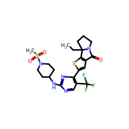 CCC12CCCN1C(=O)c1cc(-c3nc(NC4CCN(S(C)(=O)=O)CC4)ncc3C(F)(F)F)sc12